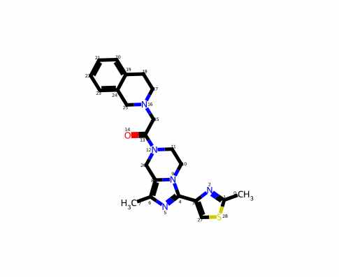 Cc1nc(-c2nc(C)c3n2CCN(C(=O)CN2CCc4ccccc4C2)C3)cs1